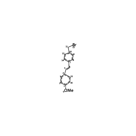 COc1ccc(C=Cc2ccc(CBr)cc2)cc1